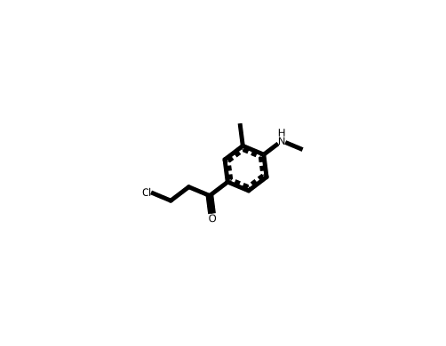 CNc1ccc(C(=O)CCCl)cc1C